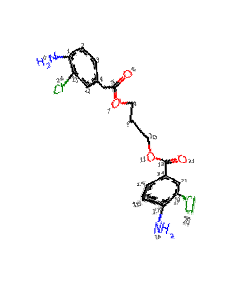 Nc1ccc(C(=O)OCCCOC(=O)c2ccc(N)c(Cl)c2)cc1Cl